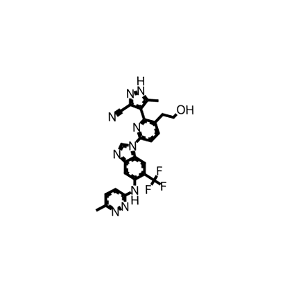 Cc1ccc(Nc2cc3ncn(-c4ccc(CCO)c(-c5c(C#N)n[nH]c5C)n4)c3cc2C(F)(F)F)nn1